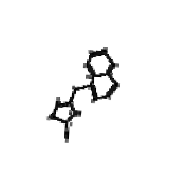 O=S1NC(Cc2cccc3ccccc23)=NO1